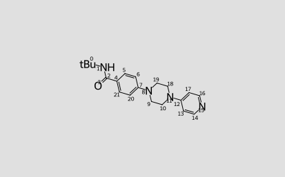 CC(C)(C)NC(=O)c1ccc(N2CCN(c3ccncc3)CC2)cc1